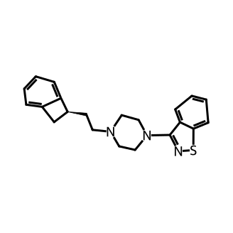 c1ccc2c(c1)C[C@@H]2CCN1CCN(c2nsc3ccccc23)CC1